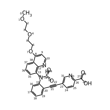 COCCOCCOc1ccnc2c(N(c3ccccc3C#Cc3ccc(C(=O)O)nc3)[SH](=O)=O)cccc12